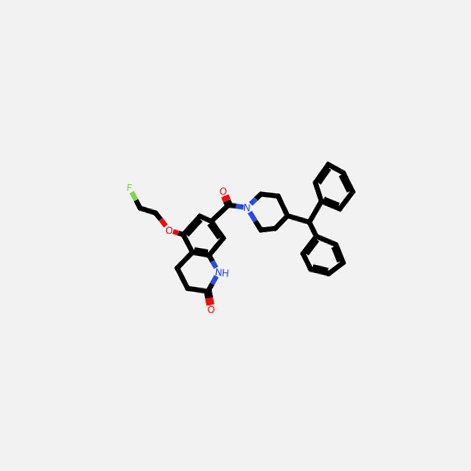 O=C1CCc2c(cc(C(=O)N3CCC(C(c4ccccc4)c4ccccc4)CC3)cc2OCCF)N1